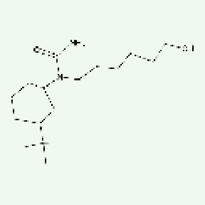 CC(C)(C)C1CCCC(N(CCCCCCO)C(N)=O)C1